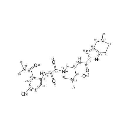 CN1CCc2nc(C(=O)NC(CNC(=O)C(=O)Nc3ccc(Cl)cc3C(=O)N(C)C)C(=O)N(C)C)sc2C1